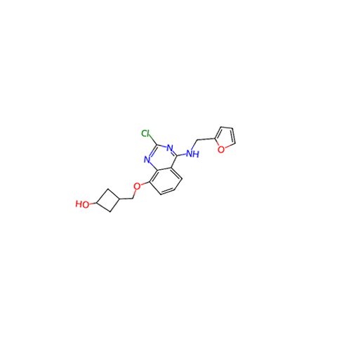 OC1CC(COc2cccc3c(NCc4ccco4)nc(Cl)nc23)C1